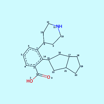 O=C(O)c1cccc(C2CCNCC2)c1C1CC2CCCC2C1